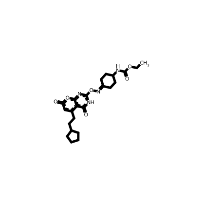 CCOC(=O)NC1CCC(=NOc2nc3oc(=O)cc(CCC4CCCC4)c3c(=O)[nH]2)CC1